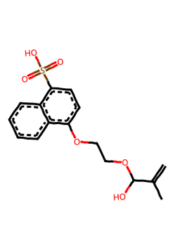 C=C(C)C(O)OCCOc1ccc(S(=O)(=O)O)c2ccccc12